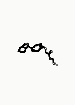 CCOC(=O)COc1ccc(-c2occ3ccccc23)cc1